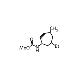 CCC1CC(C)C#CC(NC(=O)OC)C1